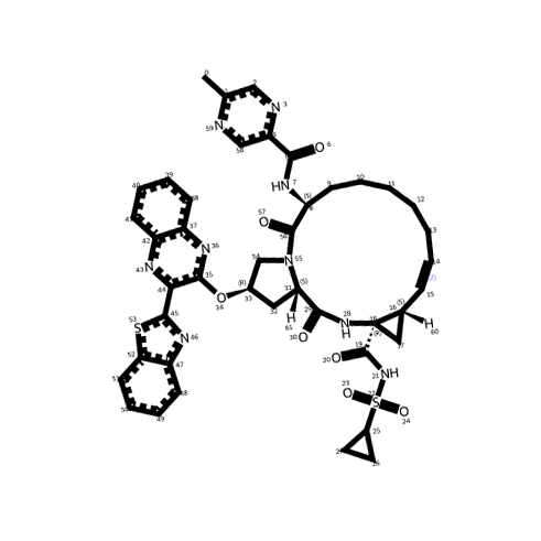 Cc1cnc(C(=O)N[C@H]2CCCCC/C=C\[C@@H]3C[C@@]3(C(=O)NS(=O)(=O)C3CC3)NC(=O)[C@@H]3C[C@@H](Oc4nc5ccccc5nc4-c4nc5ccccc5s4)CN3C2=O)cn1